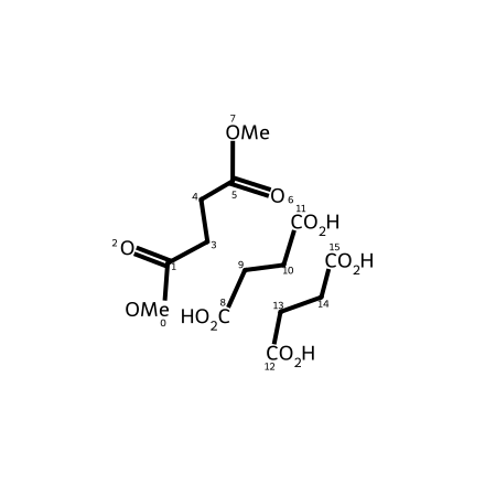 COC(=O)CCC(=O)OC.O=C(O)CCC(=O)O.O=C(O)CCC(=O)O